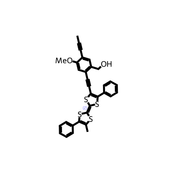 CC#Cc1cc(CO)c(C#CC2=C(c3ccccc3)S/C(=C3\SC(C)=C(c4ccccc4)S3)S2)cc1OC